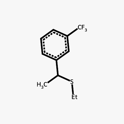 CCSC(C)c1cccc(C(F)(F)F)c1